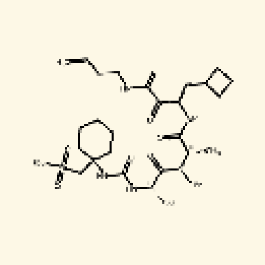 C=CCCNC(=O)C(=O)C(CC1CCC1)NC(=O)[C@H](C)N(CCC)C(=O)[C@@H](NC(=O)NC1(CS(=O)(=O)C(C)(C)C)CCCCC1)C(C)(C)C